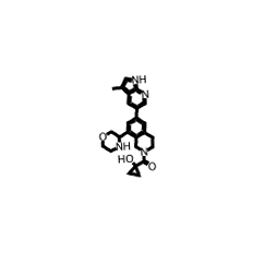 Cc1c[nH]c2ncc(-c3cc4c(c(C5COCCN5)c3)CN(C(=O)C3(O)CC3)CC4)cc12